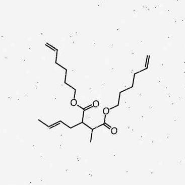 C=CCCCCOC(=O)C(C)C(CC=CC)C(=O)OCCCCC=C